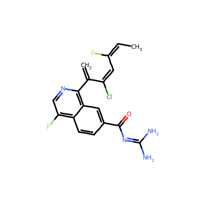 C=C(/C(Cl)=C\C(F)=C/C)c1ncc(F)c2ccc(C(=O)N=C(N)N)cc12